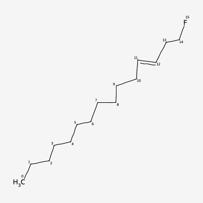 CCCCCCCCCCC/C=C/CCF